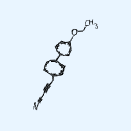 CCOc1ccc(-c2ccc(C#CC#N)cc2)cc1